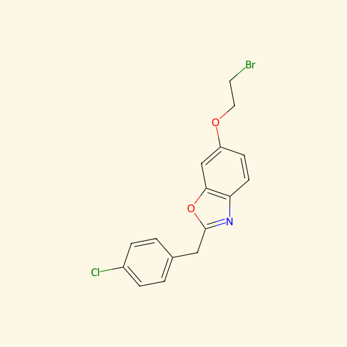 Clc1ccc(Cc2nc3ccc(OCCBr)cc3o2)cc1